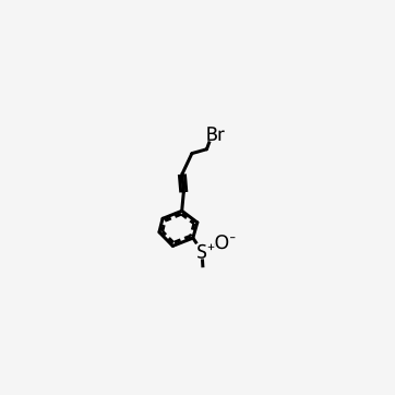 C[S+]([O-])c1cccc(C#CCCBr)c1